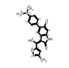 Cc1cc(C(O)=C2C(=O)Nc3cc(Cl)c(-c4ccc(N(C)C)cc4)cc32)on1